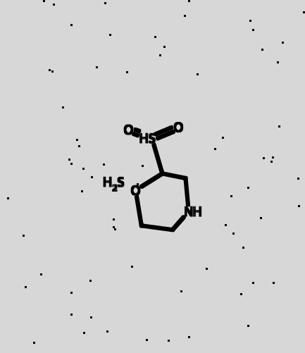 O=[SH](=O)C1CNCCO1.S